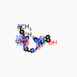 CCc1cccc2cc(O)cc(-c3ncc4c(N5CC6CCC(C5)N6)nc(OCCN5CCC(CC6CCN(CC(=O)NC(C(=O)N7CCCC7C(=O)NC(C)c7ccc(-c8scnc8C)cc7)C(C)(C)C)CC6)CC5)nc4c3F)c12